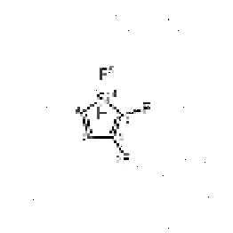 FC1=C(F)[SiH](F)C=C1